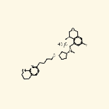 C[C@H]1COCc2cc(F)cc([C@@H](C(=O)O)N(C)[C@H]3CC[C@H](OCCCCc4ccc5c(n4)NCCC5)C3)c21